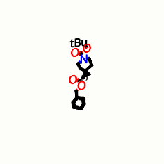 CC(C)(C)OC(=O)N1CCC2(CC1)C[C@H]2C(=O)OCc1ccccc1